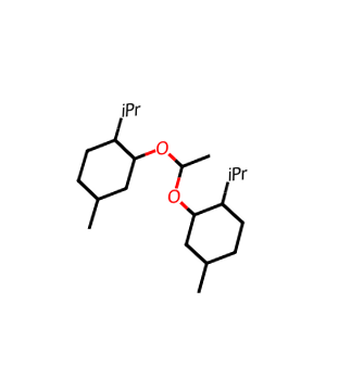 CC1CCC(C(C)C)C(OC(C)OC2CC(C)CCC2C(C)C)C1